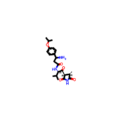 CC(C)Oc1ccc(C(N)CC(=O)N[C@H](C(=O)[C@@H]2C(=O)NC(=O)[C@H]2C)C(C)C)cc1